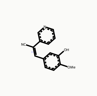 COc1ccc(/C=C(/C#N)c2cccnc2)cc1O